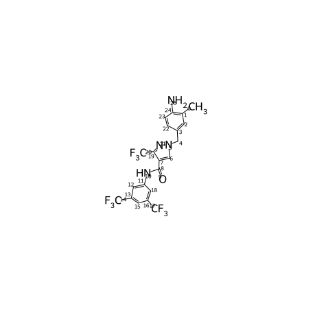 Cc1cc(Cn2cc(C(=O)Nc3cc(C(F)(F)F)cc(C(F)(F)F)c3)c(C(F)(F)F)n2)ccc1N